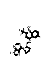 [O-][n+]1c(C(F)(F)F)cc(OC[C@H]2CCCN2c2ncnc3[nH]cnc23)c2cc(F)ccc21